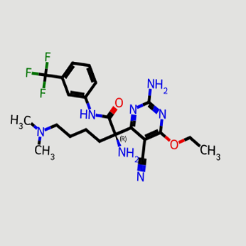 CCOc1nc(N)nc([C@](N)(CCCCN(C)C)C(=O)Nc2cccc(C(F)(F)F)c2)c1C#N